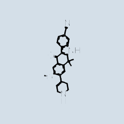 COc1cc2c(cc1C1=CCNCC1)C(C)(C)c1[nH]c3cc(C#N)ccc3c1C2=O